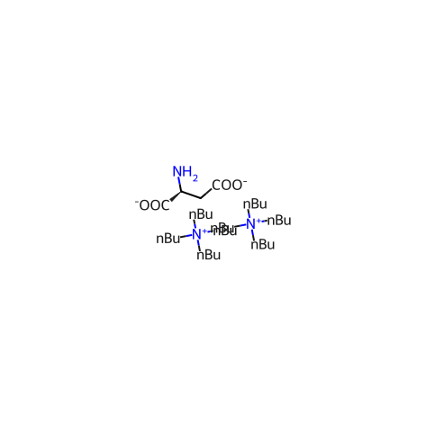 CCCC[N+](CCCC)(CCCC)CCCC.CCCC[N+](CCCC)(CCCC)CCCC.N[C@@H](CC(=O)[O-])C(=O)[O-]